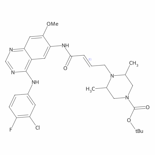 COc1cc2ncnc(Nc3ccc(F)c(Cl)c3)c2cc1NC(=O)/C=C/CN1C(C)CN(C(=O)OC(C)(C)C)CC1C